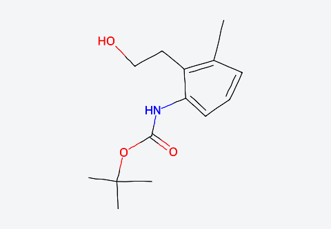 Cc1cccc(NC(=O)OC(C)(C)C)c1CCO